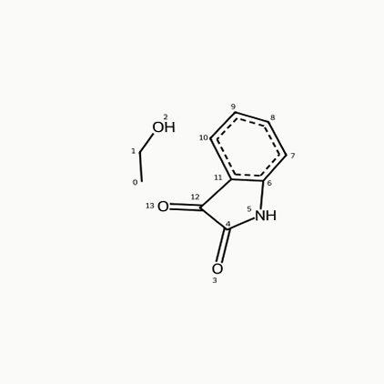 CCO.O=C1Nc2ccccc2C1=O